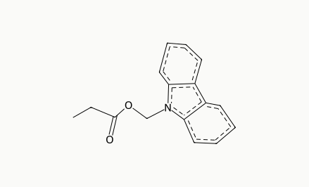 CCC(=O)OCn1c2ccccc2c2ccccc21